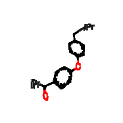 CC(C)Cc1ccc(Oc2ccc(C(=O)C(C)C)cc2)cc1